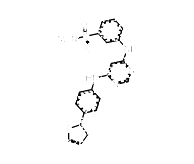 CNS(=O)(=O)c1cccc(Nc2cc(Nc3ccc(C4CC=CS4)cc3)ncn2)c1